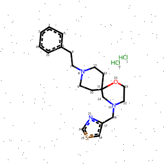 Cl.Cl.c1ccc(CCN2CCC3(CC2)CN(Cc2cscn2)CCO3)cc1